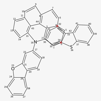 c1ccc2c(c1)ccc1ccc3cccc(N(c4ccc5c(c4)oc4ccccc45)c4ccc5c(c4)sc4ccccc45)c3c12